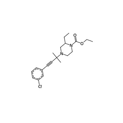 CCOC(=O)N1CCN(C(C)(C)C#Cc2cccc(Cl)c2)CC1CC